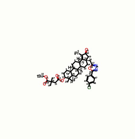 CC(C)C1=C2[C@H]3CC[C@@H]4[C@@]5(C)CC[C@H](OC(=O)CC(C)(C)C(=O)OC(C)(C)C)C(C)(C)[C@@H]5CC[C@@]4(C)[C@]3(C)CC[C@@]2(Cc2nnc(-c3ccc(Cl)cc3)o2)CC1=O